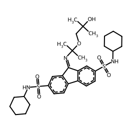 CC(C)(O)COC(C)(C)N=C1c2cc(S(=O)(=O)NC3CCCCC3)ccc2-c2ccc(S(=O)(=O)NC3CCCCC3)cc21